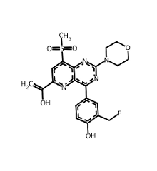 C=C(O)c1cc(S(C)(=O)=O)c2nc(N3CCOCC3)nc(-c3ccc(O)c(CF)c3)c2n1